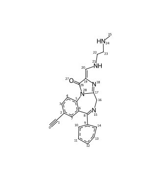 C#Cc1ccc2c(c1)C(c1ccccc1)=NCC1=N/C(=C\NCCNC)C(=O)N12